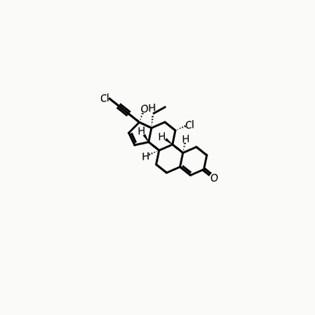 CC[C@]12C[C@H](Cl)[C@H]3[C@@H](CCC4=CC(=O)CC[C@@H]43)[C@@H]1C=C[C@@]2(O)C#CCl